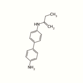 C=C(CC)Nc1ccc(-c2ccc(N)cc2)cc1